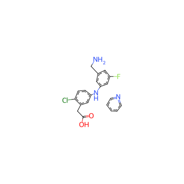 NCc1cc(F)cc(Nc2ccc(Cl)c(CC(=O)O)c2)c1.c1ccncc1